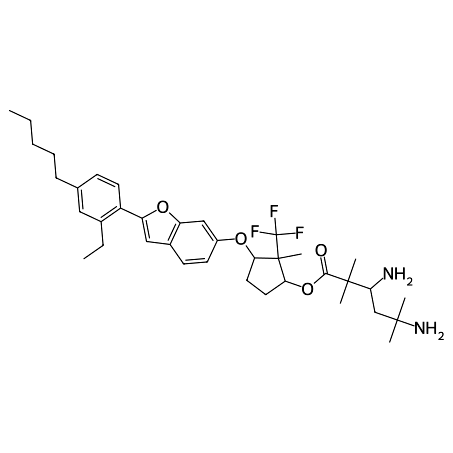 CCCCCc1ccc(-c2cc3ccc(OC4CCC(OC(=O)C(C)(C)C(N)CC(C)(C)N)C4(C)C(F)(F)F)cc3o2)c(CC)c1